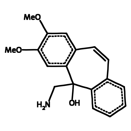 COc1cc2c(cc1OC)C(O)(CN)c1ccccc1C=C2